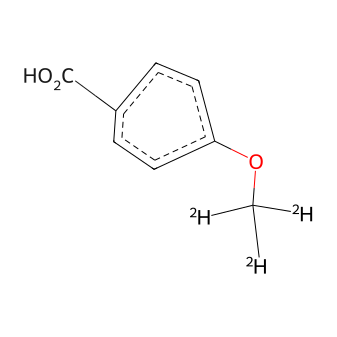 [2H]C([2H])([2H])Oc1ccc(C(=O)O)cc1